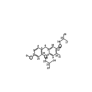 COc1ccc(Cc2ccc(C)c(OCC(C)C)c2)c(OCC(C)C)c1